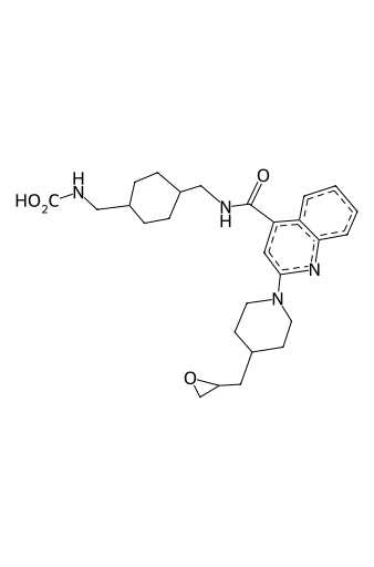 O=C(O)NCC1CCC(CNC(=O)c2cc(N3CCC(CC4CO4)CC3)nc3ccccc23)CC1